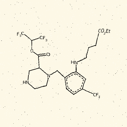 CCOC(=O)CCCNc1cc(C(F)(F)F)ccc1CN1CCNCC1C(=O)OC(C(F)(F)F)C(F)(F)F